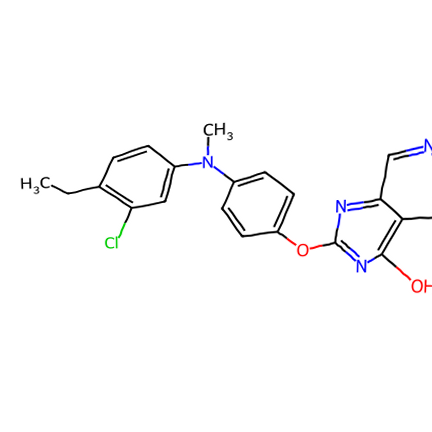 CCc1ccc(N(C)c2ccc(Oc3nc(O)c4ccncc4n3)cc2)cc1Cl